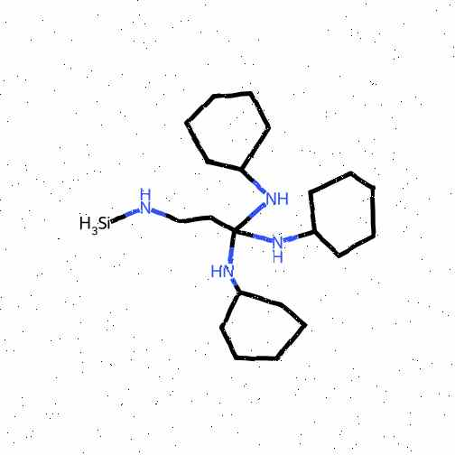 [SiH3]NCCC(NC1CCCCC1)(NC1CCCCC1)NC1CCCCC1